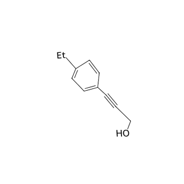 CCc1ccc(C#CCO)cc1